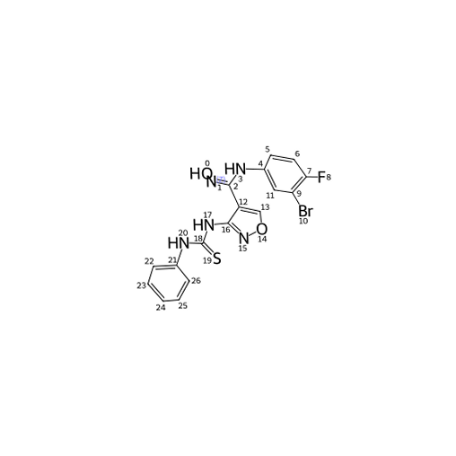 O/N=C(\Nc1ccc(F)c(Br)c1)c1conc1NC(=S)Nc1ccccc1